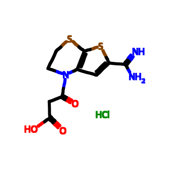 Cl.N=C(N)c1cc2c(s1)SCCN2C(=O)CC(=O)O